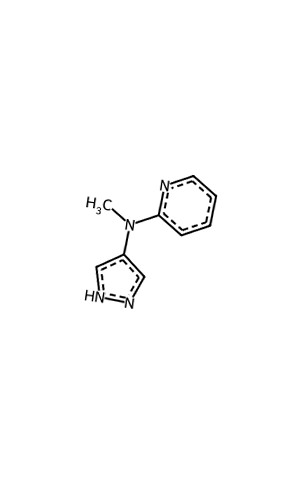 CN(c1cn[nH]c1)c1ccccn1